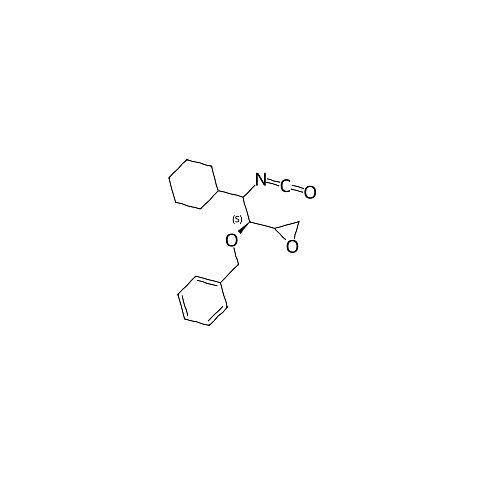 O=C=NC(C1CCCCC1)[C@H](OCc1ccccc1)C1CO1